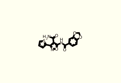 NC(=O)c1c(-c2cccs2)noc1NC(=O)c1ccc2c(c1)OCO2